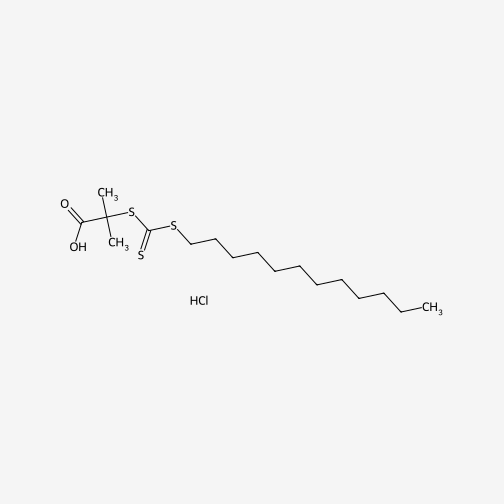 CCCCCCCCCCCCSC(=S)SC(C)(C)C(=O)O.Cl